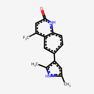 Cc1cc(-c2ccc3[nH]c(=O)cc(C(F)(F)F)c3c2)c(C)[nH]1